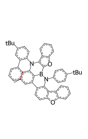 Cc1cc2c3c(c1)N(c1ccc(C(C)(C)C)cc1-c1ccccc1)c1c(oc4ccccc14)B3N(c1ccc(C(C)(C)C)cc1)c1c-2ccc2oc3ccccc3c12